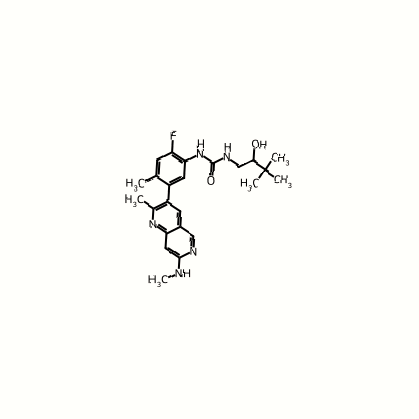 CNc1cc2nc(C)c(-c3cc(NC(=O)NCC(O)C(C)(C)C)c(F)cc3C)cc2cn1